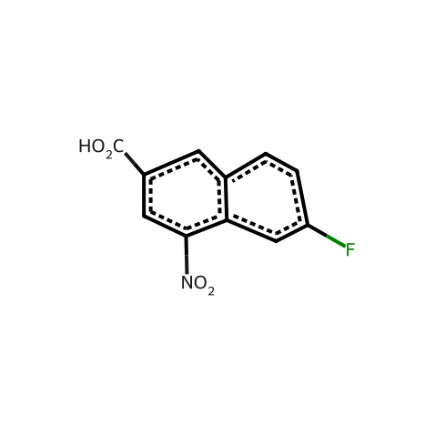 O=C(O)c1cc([N+](=O)[O-])c2cc(F)ccc2c1